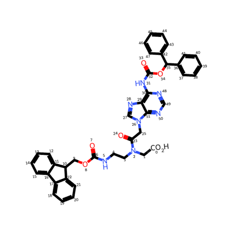 O=C(O)CN(CCNC(=O)OCC1c2ccccc2-c2ccccc21)C(=O)Cn1cnc2c(NC(=O)OC(c3ccccc3)c3ccccc3)ncnc21